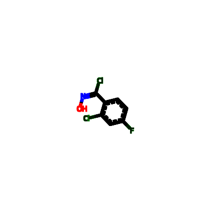 O/N=C(/Cl)c1ccc(F)cc1Cl